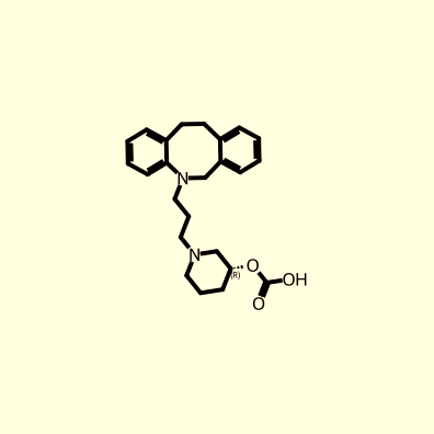 O=C(O)O[C@@H]1CCCN(CCCN2Cc3ccccc3CCc3ccccc32)C1